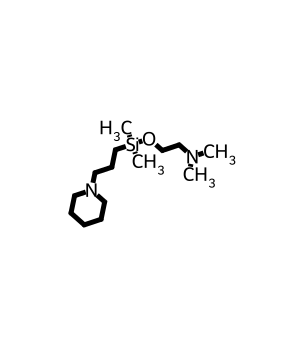 CN(C)CCO[Si](C)(C)CCCN1CCCCC1